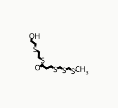 CSCSCSCCC(=O)SCCSCCO